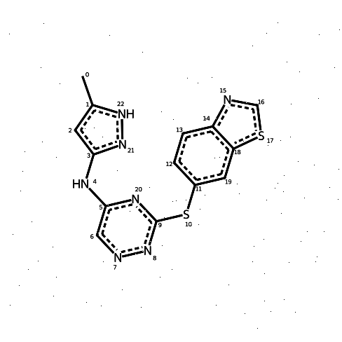 Cc1cc(Nc2cnnc(Sc3ccc4ncsc4c3)n2)n[nH]1